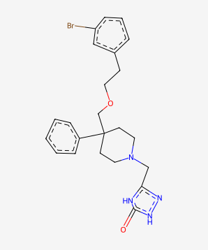 O=c1[nH]nc(CN2CCC(COCCc3cccc(Br)c3)(c3ccccc3)CC2)[nH]1